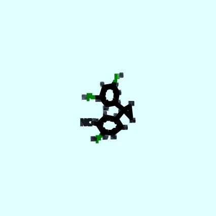 N#Cc1cc(C2(c3cc(F)cc(F)c3)CC2)ccc1F